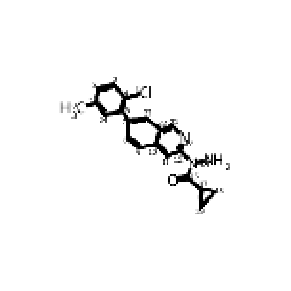 Cc1ccc(Cl)c(-c2ccc3cc(N(N)C(=O)C4CC4)ncc3c2)c1